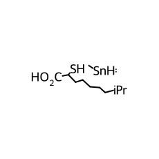 CC(C)CCCCCC(S)C(=O)O.[CH3][SnH]